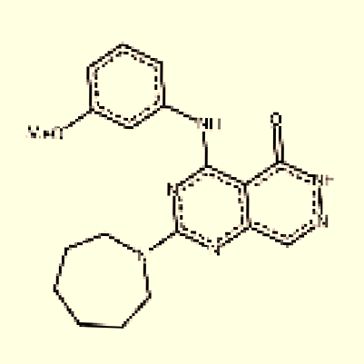 COc1cccc(Nc2nc(N3CCCCCC3)nc3cn[nH]c(=O)c23)c1